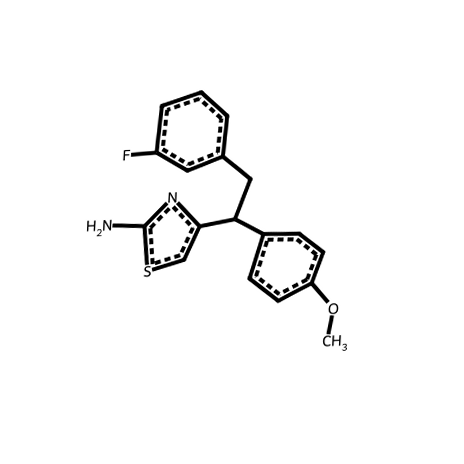 COc1ccc(C(Cc2cccc(F)c2)c2csc(N)n2)cc1